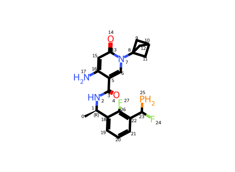 C[C@@H](NC(=O)c1cn(C23CC(C2)C3)c(=O)cc1N)c1cccc(C(F)P)c1F